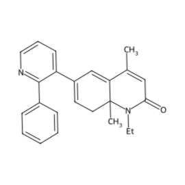 CCN1C(=O)C=C(C)C2=CC(c3cccnc3-c3ccccc3)=CCC21C